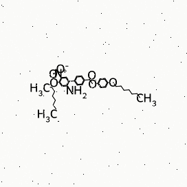 CCCCCCCOc1ccc(OC(=O)c2ccc(-c3cc([N+](=O)[O-])c(O[C@H](C)CCCCCC)cc3N)cc2)cc1